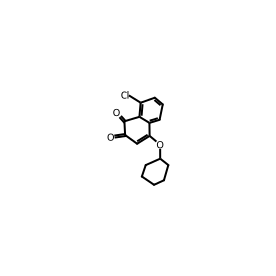 O=C1C=C(OC2CCCCC2)c2cccc(Cl)c2C1=O